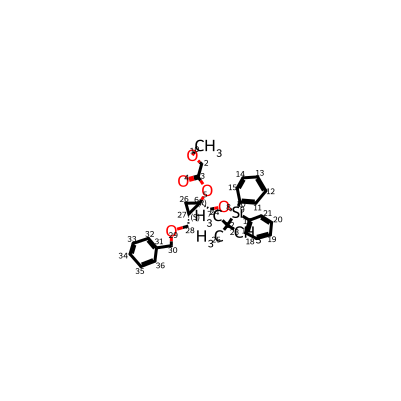 COCC(=O)O[C@]1(CO[Si](c2ccccc2)(c2ccccc2)C(C)(C)C)C[C@H]1COCc1ccccc1